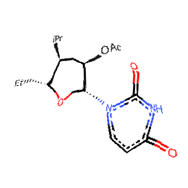 CC[C@H]1O[C@@H](n2ccc(=O)[nH]c2=O)[C@H](OC(C)=O)[C@@H]1C(C)C